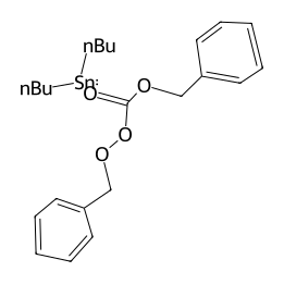 CCC[CH2][Sn][CH2]CCC.O=C(OCc1ccccc1)OOCc1ccccc1